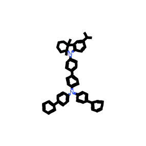 CC(C)c1ccc2c(c1)C1(C)CCCCC1(C)N2c1ccc(-c2ccc(N(c3ccc(-c4ccccc4)cc3)c3ccc(-c4ccccc4)cc3)cc2)cc1